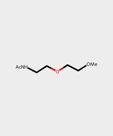 COCCOCCNC(C)=O